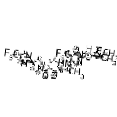 C[C@@H](CN1CCCC(C(=O)N2CCN(c3ncc(C(F)(F)F)cn3)CC2)C1=O)Nc1cnn(COCC[Si](C)(C)C)c(=O)c1C(F)(F)F